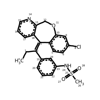 CCC(=C1c2ccc(Cl)cc2OCc2ncccc21)c1cccc(NS(C)(=O)=O)c1